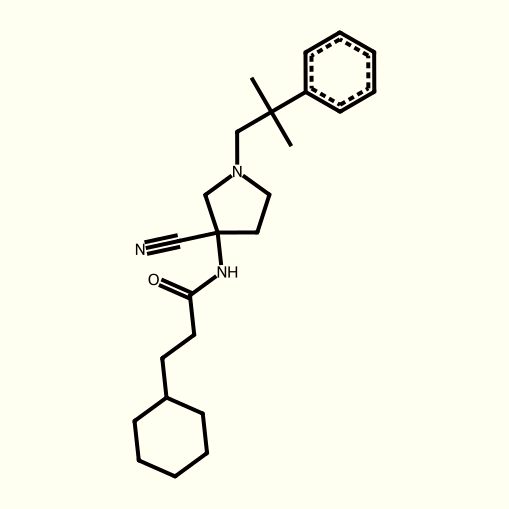 CC(C)(CN1CCC(C#N)(NC(=O)CCC2CCCCC2)C1)c1ccccc1